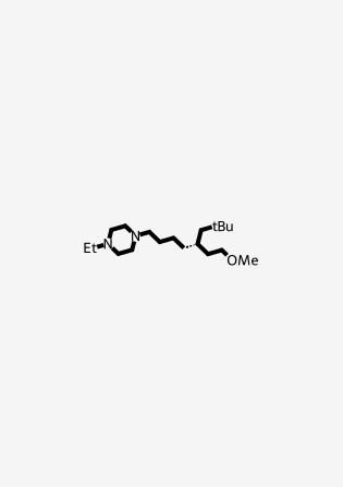 CCN1CCN(CCCC[C@@H](CCOC)CC(C)(C)C)CC1